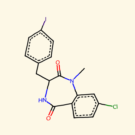 CN1C(=O)C(Cc2ccc(I)cc2)NC(=O)c2ccc(Cl)cc21